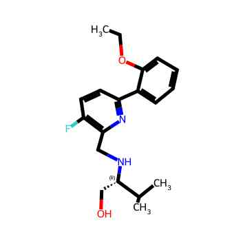 CCOc1ccccc1-c1ccc(F)c(CN[C@@H](CO)C(C)C)n1